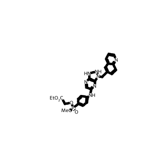 CCOC(=O)COP(=O)(OC)c1ccc(Nc2cnc3c(n2)N(Cc2ccc4ncccc4c2)NN3)cc1